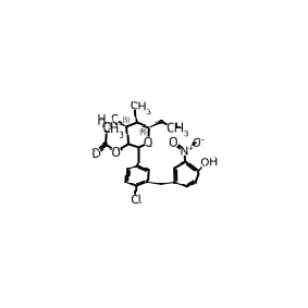 CC[C@H]1OC(c2ccc(Cl)c(Cc3ccc(O)c([N+](=O)[O-])c3)c2)C(OC(C)=O)[C@@H](C)C1C